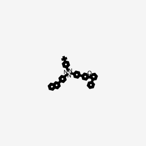 CC(C)(C)c1ccc(-c2nc(-c3ccc(-c4ccc5ccccc5c4)cc3)nc(-c3ccc(-c4ccc5c(c4)oc4cccc(-c6ccccc6)c45)cc3)n2)cc1